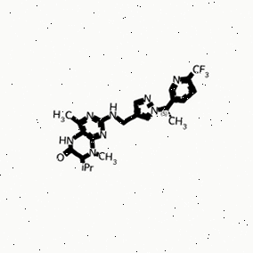 Cc1nc(NCc2cnn([C@@H](C)c3ccc(C(F)(F)F)nc3)c2)nc2c1NC(=O)C(C(C)C)N2C